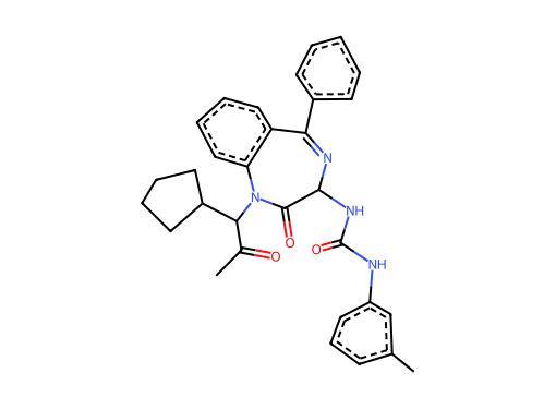 CC(=O)C(C1CCCC1)N1C(=O)C(NC(=O)Nc2cccc(C)c2)N=C(c2ccccc2)c2ccccc21